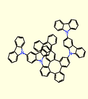 c1ccc2c(c1)-c1ccc(-n3c4ccccc4c4cc(-n5c6ccccc6c6ccccc65)ccc43)cc1-c1cc3c4ccccc4c4ccccc4c3cc1-c1c-2cccc1-n1c2ccccc2c2cc(-n3c4ccccc4c4ccccc43)ccc21